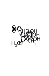 COc1cc(/C=C/c2cccc([N+](=O)[O-])c2)c(O[C@@H]2O[C@H](CO)[C@@H](O)[C@H](O)[C@H]2O)c(OC)c1